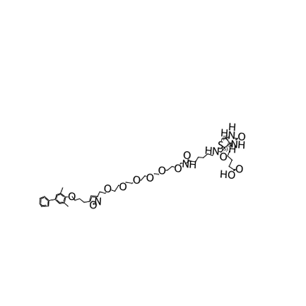 Cc1cc(-c2ccccc2)cc(C)c1OCCCc1cc(CCOCCOCCOCCOCCOCCOCNC(=O)CCCCCNC(=O)[C@@]2(CCCCC(=O)O)SC[C@@H]3NC(=O)N[C@@H]32)no1